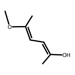 CO/C(C)=C/C=C(\C)O